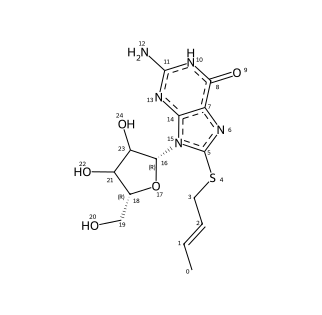 CC=CCSc1nc2c(=O)[nH]c(N)nc2n1[C@@H]1O[C@H](CO)C(O)C1O